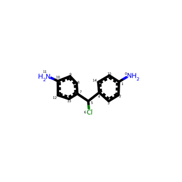 Nc1ccc(C(Cl)c2ccc(N)cc2)cc1